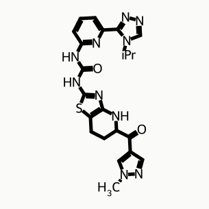 CC(C)n1cnnc1-c1cccc(NC(=O)Nc2nc3c(s2)CCC(C(=O)c2cnn(C)c2)N3)n1